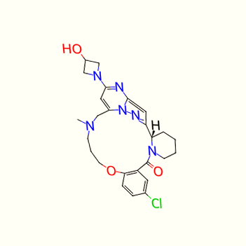 CN1CCCOc2ccc(Cl)cc2C(=O)N2CCCC[C@H]2c2cc3nc(N4CC(O)C4)cc(n3n2)C1